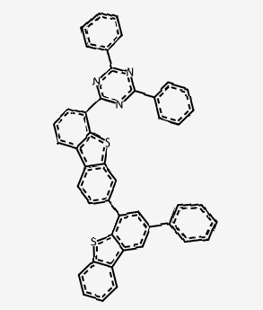 c1ccc(-c2cc(-c3ccc4c(c3)sc3c(-c5nc(-c6ccccc6)nc(-c6ccccc6)n5)cccc34)c3sc4ccccc4c3c2)cc1